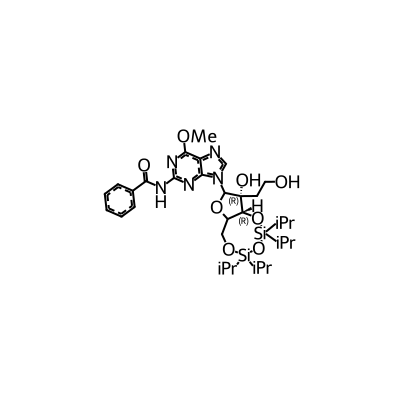 COc1nc(NC(=O)c2ccccc2)nc2c1ncn2C1OC2CO[Si](C(C)C)(C(C)C)O[Si](C(C)C)(C(C)C)O[C@H]2[C@]1(O)CCO